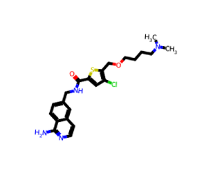 CN(C)CCCCOCc1sc(C(=O)NCc2ccc3c(N)nccc3c2)cc1Cl